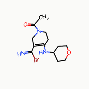 CC(=O)N1CCC(NC2CCOCC2)=C(C(=N)Br)C1